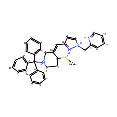 CC(=O)SC1CCN(C(c2ccccc2)(c2ccccc2)c2ccccc2)C/C1=C/c1ccn(Cc2ccccn2)n1